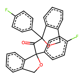 O=C(C1(c2ccc(F)cc2)OCc2ccccc21)C1(c2ccc(F)cc2)OCc2ccccc21